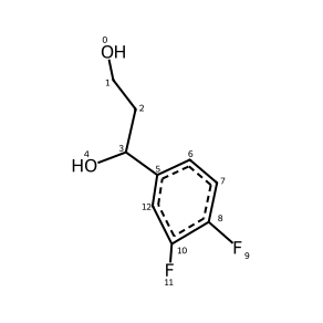 OCCC(O)c1ccc(F)c(F)c1